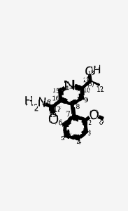 COc1ccccc1-c1cc([C@H](C)O)ncc1C(N)=O